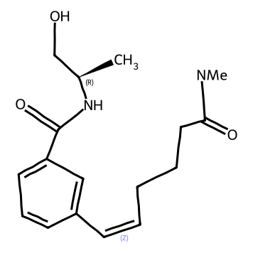 CNC(=O)CCC/C=C\c1cccc(C(=O)N[C@H](C)CO)c1